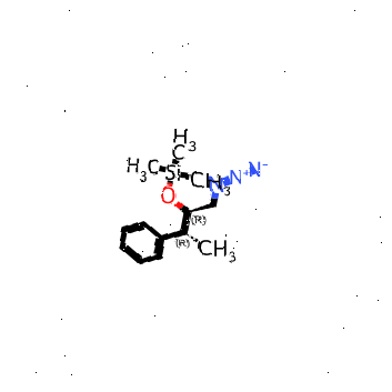 C[C@H](c1ccccc1)[C@H](CN=[N+]=[N-])O[Si](C)(C)C